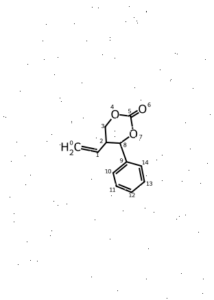 C=CC1COC(=O)OC1c1ccccc1